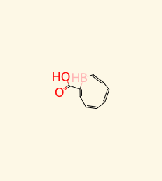 O=C(O)C1=CC=CC=CC=CB1